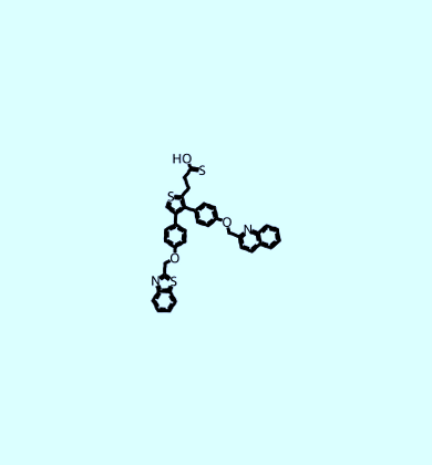 OC(=S)CCc1scc(-c2ccc(OCc3nc4ccccc4s3)cc2)c1-c1ccc(OCc2ccc3ccccc3n2)cc1